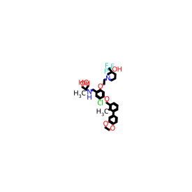 Cc1c(COc2cc(OCCN3CCCC(O)(C(F)(F)F)C3)c(CNC(C)(CO)CO)cc2Cl)cccc1-c1ccc2c(c1)OCCO2